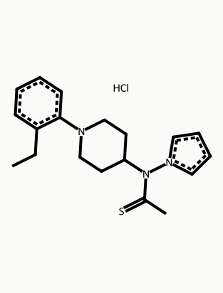 CCc1ccccc1N1CCC(N(C(C)=S)n2cccc2)CC1.Cl